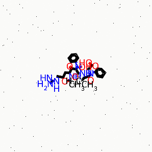 CC(=O)NC(CCCNC(=N)N)C(=O)C(C(=O)NC(C(=O)N(CC(=O)O)c1ccccc1)C(C)C)N(O)c1ccccc1